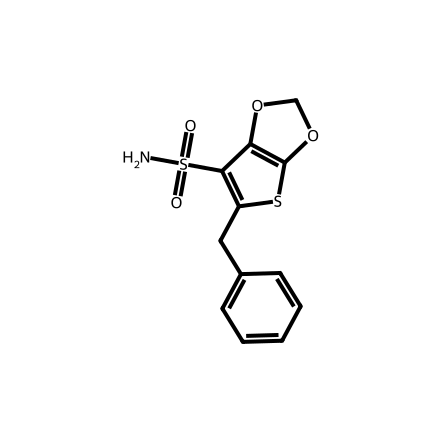 NS(=O)(=O)c1c(Cc2ccccc2)sc2c1OCO2